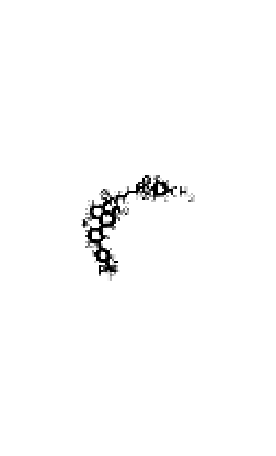 Cc1ccc(S(=O)(=O)OCCCCn2c(=O)c3ccc4oc5ccc(-c6ccc(C(F)(F)F)cc6)cc5c5ccc(c2=O)c3c45)cc1